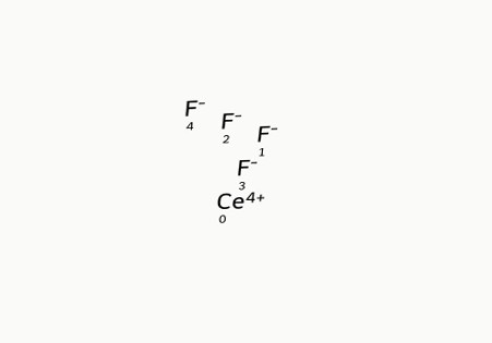 [Ce+4].[F-].[F-].[F-].[F-]